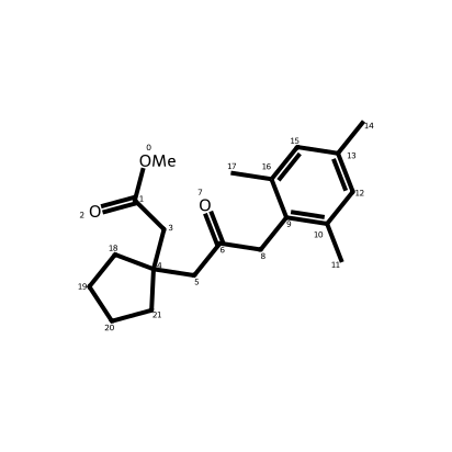 COC(=O)CC1(CC(=O)Cc2c(C)cc(C)cc2C)CCCC1